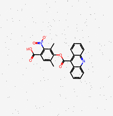 Cc1cc(C(=O)O)c([N+](=O)[O-])c(C)c1OC(=O)c1c2ccccc2nc2ccccc12